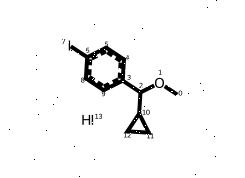 COC(c1ccc(I)cc1)C1CC1.I